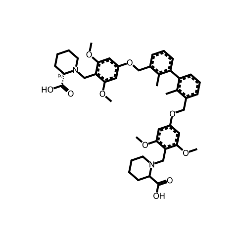 COc1cc(OCc2cccc(-c3cccc(COc4cc(OC)c(CN5CCCC[C@H]5C(=O)O)c(OC)c4)c3C)c2C)cc(OC)c1CN1CCCCC1C(=O)O